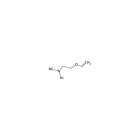 C=COCCN(C#N)C(C)=O